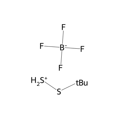 CC(C)(C)S[SH2+].F[B-](F)(F)F